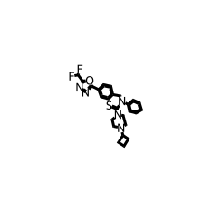 FC(F)c1nnc(-c2ccc(CN(C(=S)N3CCN(C4CCC4)CC3)c3ccccc3)cc2)o1